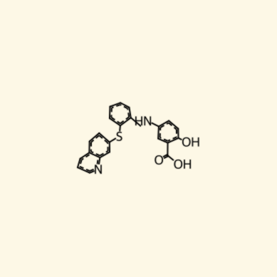 O=C(O)c1cc(NCc2ccccc2Sc2ccc3cccnc3c2)ccc1O